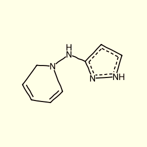 C1=CCN(Nc2cc[nH]n2)C=C1